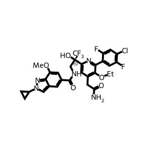 CCOc1c(CC(N)=O)cc([C@@](O)(CNC(=O)c2cc(OC)c3nn(C4CC4)cc3c2)C(F)(F)F)nc1-c1cc(F)c(Cl)cc1F